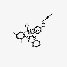 CC#CCOc1ccc(S(=O)(=O)N(Cc2ccccc2)c2c(C)cc(C)cc2C(=O)OC)cc1